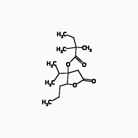 CCCC1OC(=O)CC1(OC(=O)C(C)(C)CC)C(C)C